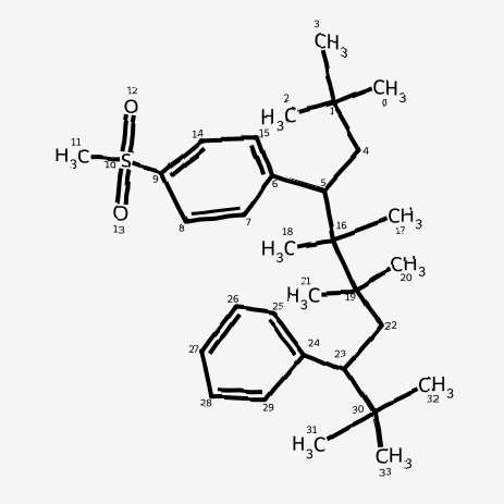 CC(C)(C)CC(c1ccc(S(C)(=O)=O)cc1)C(C)(C)C(C)(C)CC(c1ccccc1)C(C)(C)C